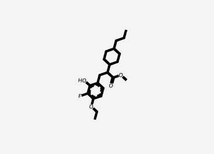 CCCC1CCC(C(Cc2ccc(OCC)c(F)c2O)C(=O)OC)CC1